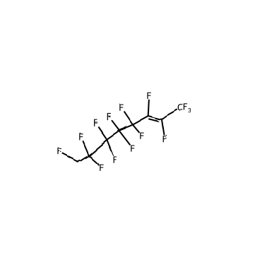 FCC(F)(F)C(F)(F)C(F)(F)C(F)(F)C(F)=C(F)C(F)(F)F